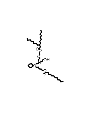 CCCCCCCCCCCC(=O)OCCCCCN(CCN(CCO)CCOCCOC(=O)CC(CCCCCCCC)CCCCCCCC)C1CCCCC1